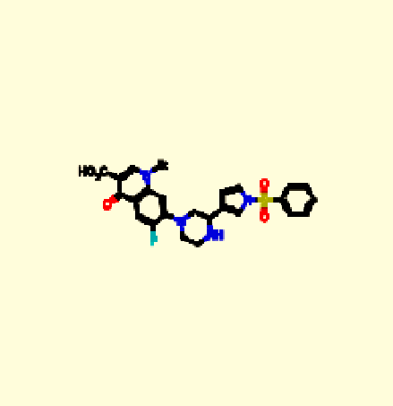 CCn1cc(C(=O)O)c(=O)c2cc(F)c(N3CCNC(c4ccn(S(=O)(=O)c5ccccc5)c4)C3)cc21